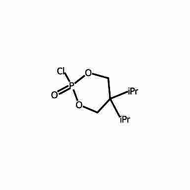 CC(C)C1(C(C)C)COP(=O)(Cl)OC1